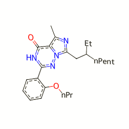 CCCCCC(CC)Cc1nc(C)c2c(=O)[nH]c(-c3ccccc3OCCC)nn12